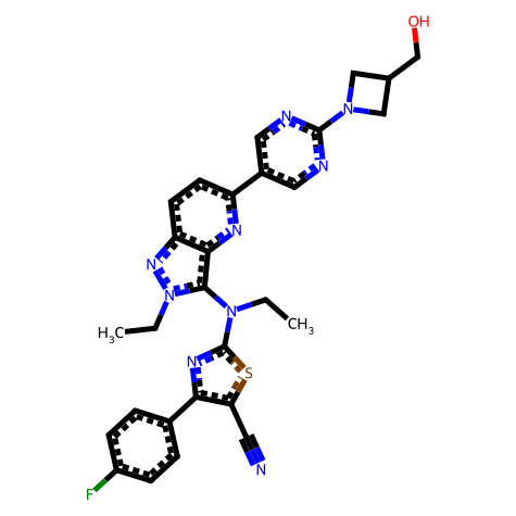 CCN(c1nc(-c2ccc(F)cc2)c(C#N)s1)c1c2nc(-c3cnc(N4CC(CO)C4)nc3)ccc2nn1CC